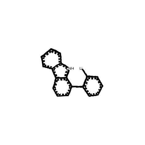 [Li][c]1ccccc1-c1cccc2c1[nH]c1ccccc12